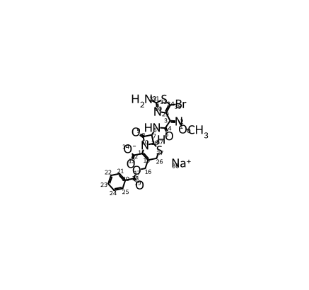 CO/N=C(\C(=O)NC1C(=O)N2C(C(=O)[O-])=C(COC(=O)c3ccccc3)CS[C@H]12)c1nc(N)sc1Br.[Na+]